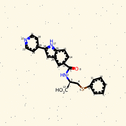 O=C(N[C@@H](CSc1ccccc1)C(=O)O)c1ccc2[nH]c(-c3ccncc3)cc2c1